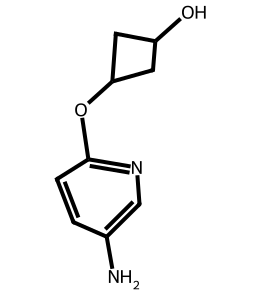 Nc1ccc(OC2CC(O)C2)nc1